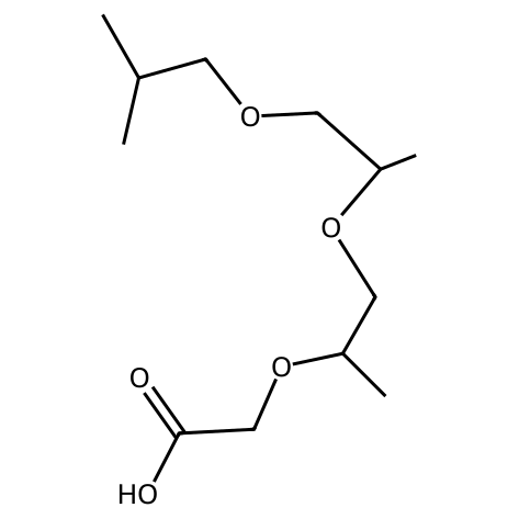 CC(C)COCC(C)OCC(C)OCC(=O)O